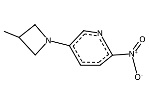 CC1CN(c2ccc([N+](=O)[O-])nc2)C1